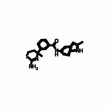 Cc1cc2cc(NC(=O)c3cccc(C4(C)CCSC(N)=N4)c3)ccc2[nH]1